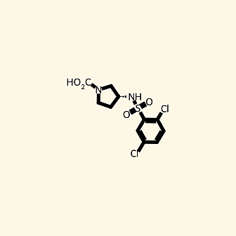 O=C(O)N1CC[C@@H](NS(=O)(=O)c2cc(Cl)ccc2Cl)C1